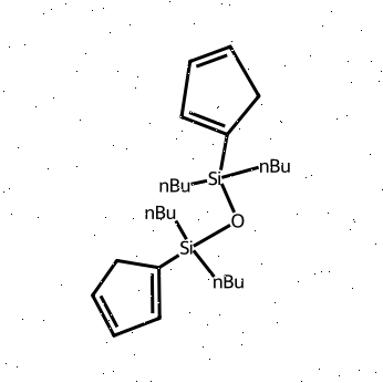 CCCC[Si](CCCC)(O[Si](CCCC)(CCCC)C1=CC=CC1)C1=CC=CC1